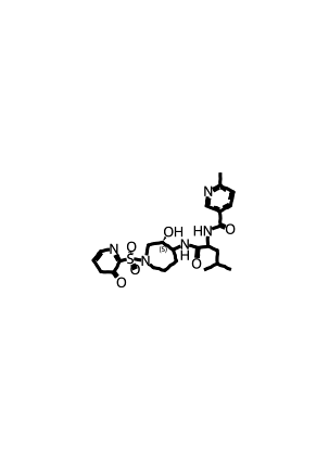 Cc1ccc(C(=O)NC(CC(C)C)C(=O)NC2CCCN(S(=O)(=O)C3=NC=CCC3=O)C[C@@H]2O)cn1